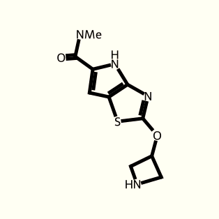 CNC(=O)c1cc2sc(OC3CNC3)nc2[nH]1